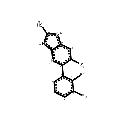 Fc1cccc(-c2nc3nc(S)sc3cc2Br)c1F